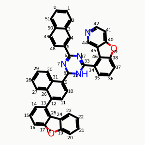 c1ccc2cc(C3=NC(c4ccc(-c5cccc6oc7ccccc7c56)c5ccccc45)NC(c4cccc5oc6ccncc6c45)=N3)ccc2c1